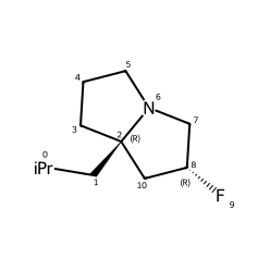 CC(C)C[C@@]12CCCN1C[C@H](F)C2